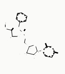 CC(C)SC(=O)[C@H](C)N[P@](=O)(OC[C@H]1O[C@@H](n2ccc(=O)[nH]c2=O)[C@H](F)[C@@H]1O)Oc1ccccc1